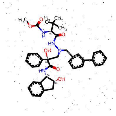 COC(=O)N[C@H](C(=O)NN(Cc1cccc(-c2ccccc2)c1)C[C@](O)(C(=O)N[C@H]1c2ccccc2C[C@H]1O)c1ccccc1)C(C)(C)C